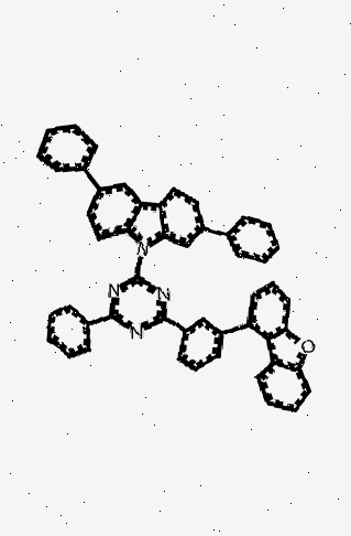 c1ccc(-c2ccc3c(c2)c2ccc(-c4ccccc4)cc2n3-c2nc(-c3ccccc3)nc(-c3cccc(-c4cccc5oc6ccccc6c45)c3)n2)cc1